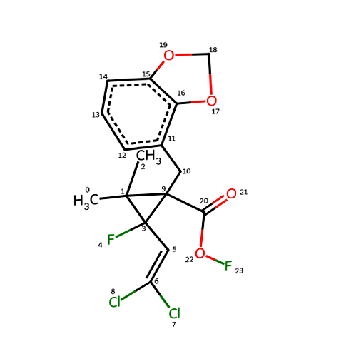 CC1(C)C(F)(C=C(Cl)Cl)C1(Cc1cccc2c1OCO2)C(=O)OF